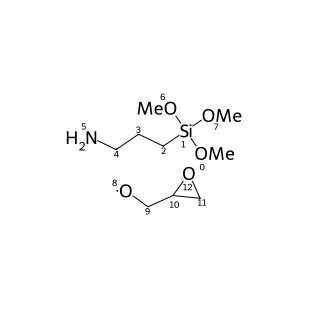 CO[Si](CCCN)(OC)OC.[O]CC1CO1